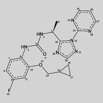 C[C@H](NC(=O)Nc1ccc(F)cc1OCC1CC1)c1ncnn1-c1ncccn1